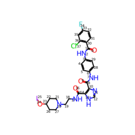 O=C(Nc1ccc(NC(=O)c2nc[nH]c2C(=O)NCCN2CCC(OI)CC2)cc1)c1ccc(F)cc1Cl